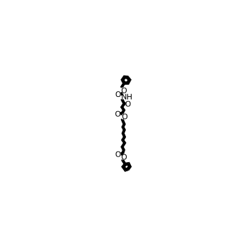 O=C(CCC(=O)OCCCCCCCCCCC(=O)OCc1ccccc1)CNC(=O)OCc1ccccc1